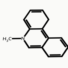 CN1C=c2ccccc2=C2CC=CC=C21